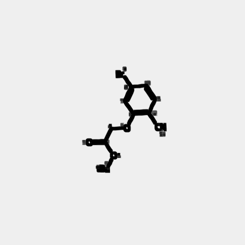 CC(C)(C)OC(=O)COc1cc(Br)ccc1C#N